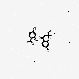 CC(=O)c1ccc(Cl)cc1O.CC1(CF)CC(=O)c2ccc(Cl)cc2O1